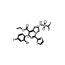 CCOC(=O)C1=C2C[C@H](NS(=O)(=O)C(F)F)CN2C(c2nccs2)=N[C@H]1c1ccc(F)cc1Br